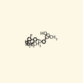 CCC[C@@H](CC(=O)O)c1cccc(OCc2ccc(-c3cc(OC)ccc3F)c(C(C)(C)C)c2)c1